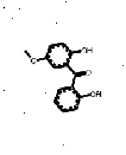 COc1ccc(O)c(C(=O)c2ccccc2O)c1